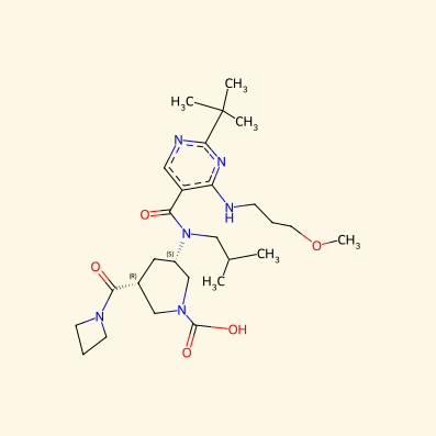 COCCCNc1nc(C(C)(C)C)ncc1C(=O)N(CC(C)C)[C@H]1C[C@@H](C(=O)N2CCC2)CN(C(=O)O)C1